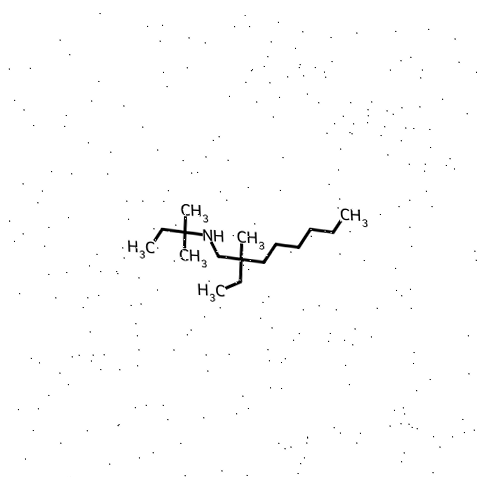 CCCCCCC(C)(CC)CNC(C)(C)CC